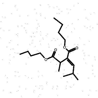 CCCCOC(=O)C(=CC(C)C)C(C)C(=O)OCCCC